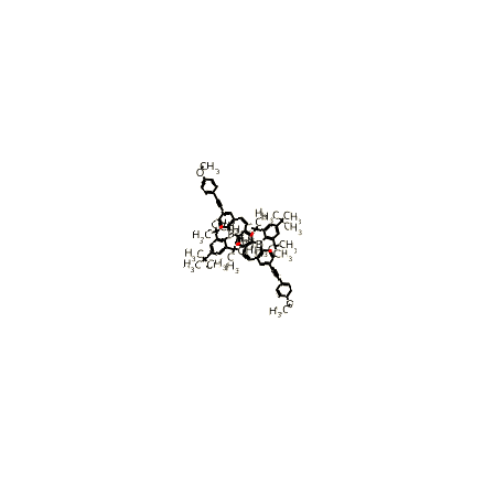 COc1ccc(C#Cc2ccc3c(c2)C=Cc2cc4c(cc2B3c2c(C(C)(C)C)cc(C(C)(C)C)cc2C(C)(C)C)C=Cc2cc(C#Cc3ccc(OC)cc3)ccc2B4c2c(C(C)(C)C)cc(C(C)(C)C)cc2C(C)(C)C)cc1